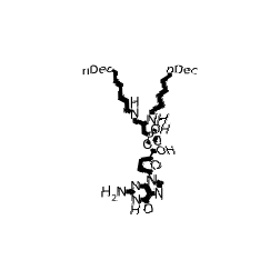 CCCCCCCCCCCCCCCCNCC(CP(=O)(O)OC(O)[C@@H]1CC[C@H](n2cnc3c(=O)[nH]c(N)nc32)O1)NCCCCCCCCCCCCCCCC